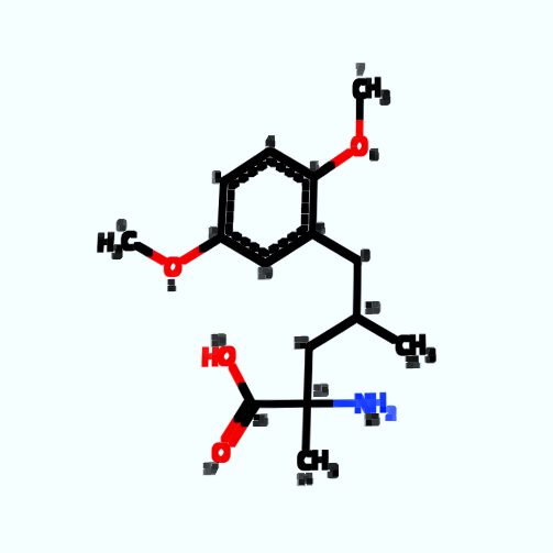 COc1ccc(OC)c(CC(C)CC(C)(N)C(=O)O)c1